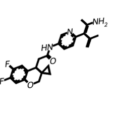 C=C(C)/C(=C(/C)N)c1ccc(NC(=O)CC2c3cc(F)c(F)cc3OCC23CC3)cn1